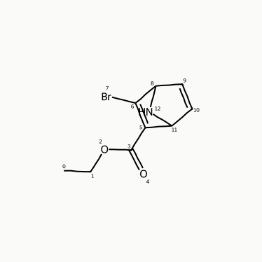 CCOC(=O)C1=C(Br)C2C=CC1N2